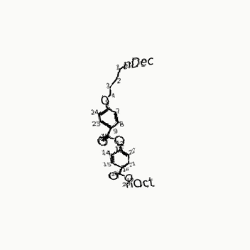 CCCCCCCCCCCCCCOc1ccc(C(=O)Oc2ccc(C(=O)OCCCCCCCC)cc2)cc1